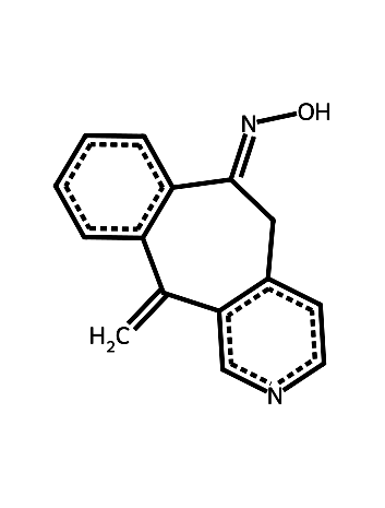 C=C1c2cnccc2CC(=NO)c2ccccc21